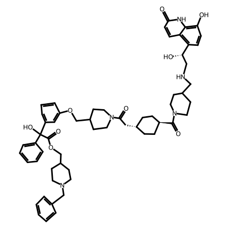 O=C(C[C@H]1CC[C@H](C(=O)N2CCC(CNC[C@H](O)c3ccc(O)c4[nH]c(=O)ccc34)CC2)CC1)N1CCC(COc2cccc(C(O)(C(=O)OCC3CCN(Cc4ccccc4)CC3)c3ccccc3)c2)CC1